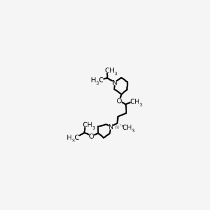 CC(C)OC1CCN([C@@H](C)CCC(C)OC2CCCN(C(C)C)C2)CC1